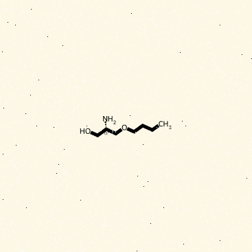 CCCCOC[C@@H](N)CO